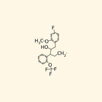 [CH2]CC(c1ccccc1OC(F)(F)F)C(O)Cc1ccc(F)cc1OC